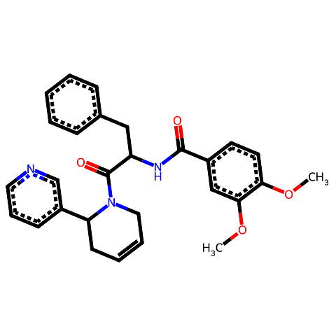 COc1ccc(C(=O)NC(Cc2ccccc2)C(=O)N2CC=CCC2c2cccnc2)cc1OC